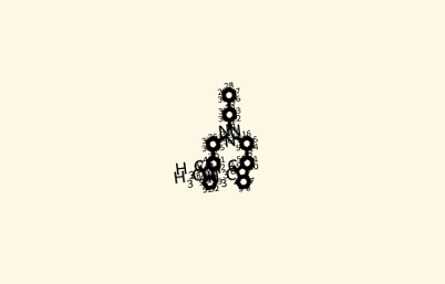 CC1(C)c2ccccc2-c2ccc(-c3cccc(-c4nc(-c5ccc(-c6ccccc6)cc5)nc(-c5cccc(-c6ccc7c(c6)C(C)(C)c6ccccc6-7)c5)n4)c3)cc21